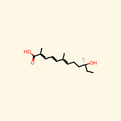 CC[C@](C)(O)CC/C=C(\C)C=C/C=C(\C)C(=O)O